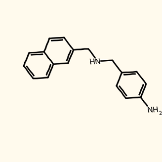 Nc1ccc(CNCc2ccc3ccccc3c2)cc1